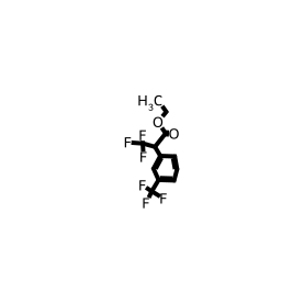 CCOC(=O)C(c1cccc(C(F)(F)F)c1)C(F)(F)F